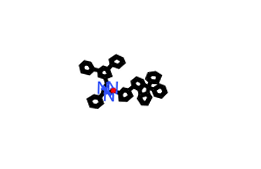 c1ccc(-c2cc(-c3ccccc3)cc(-c3nc(-c4ccccc4)nc(-c4cccc(-c5cccc6c5-c5ccccc5C6(c5ccccc5)c5ccccc5)c4)n3)c2)cc1